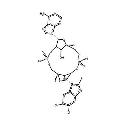 Nc1ncnc2c1ncn2[C@@H]1O[C@@H]2COP(=O)(O)OC3C(O)[C@@H](COP(=O)(O)OC1C2O)O[C@H]3n1c(Cl)nc2cc(Cl)c(Cl)cc21